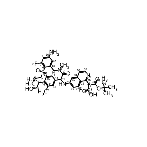 CCCS(=O)(=O)c1c(F)cc(N)cc1CN(C)C(=O)C(Nc1cc(F)c2c(N(C(=O)O)C(=O)OC(C)(C)C)nccc2c1)c1ccc([C@@H](C)CO)c(C)c1